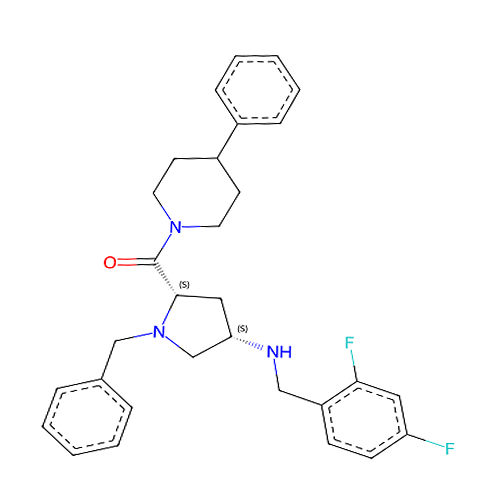 O=C([C@@H]1C[C@H](NCc2ccc(F)cc2F)CN1Cc1ccccc1)N1CCC(c2ccccc2)CC1